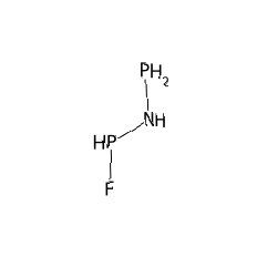 FPNP